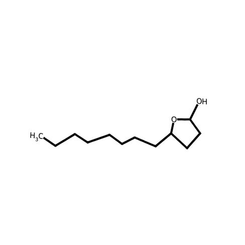 CCCCCCCCC1CCC(O)O1